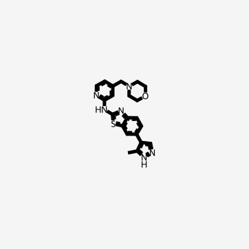 Cc1[nH]ncc1-c1ccc2nc(Nc3cc(CN4CCOCC4)ccn3)sc2c1